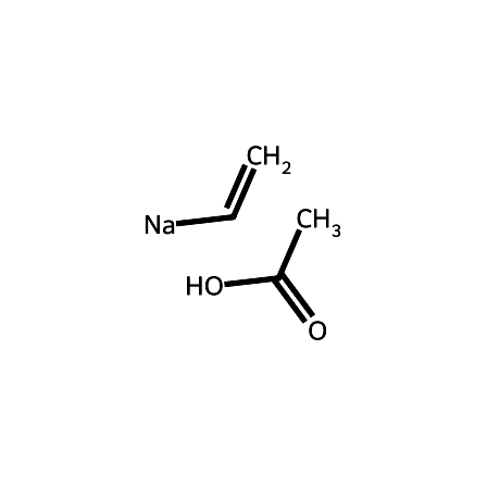 C=[CH][Na].CC(=O)O